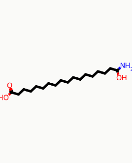 NC(O)CCCCCCCCCCCCCCCCC(=O)O